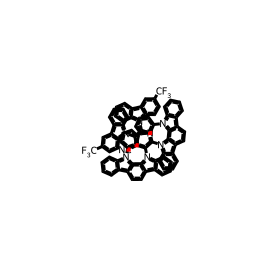 N#Cc1c(-n2c3ccccc3c3cc(C(F)(F)F)ccc32)c(-n2c3ccccc3c3cc(C(F)(F)F)ccc32)nc(-n2c3ccccc3c3ccc4c5ccccc5n(-c5ccccc5)c4c32)c1-n1c2ccccc2c2ccc3c4ccccc4n(-c4ccccc4)c3c21